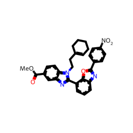 COC(=O)c1ccc2c(c1)nc(-c1cccc3nc(-c4ccc([N+](=O)[O-])cc4)oc13)n2CCC1=CCCCC1